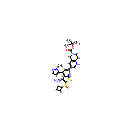 Cn1nccc1-c1cc(-c2cnc3c(c2)CN(C(=O)OC(C)(C)C)CC3)nc2sc([S+]([O-])C3CCC3)c(N)c12